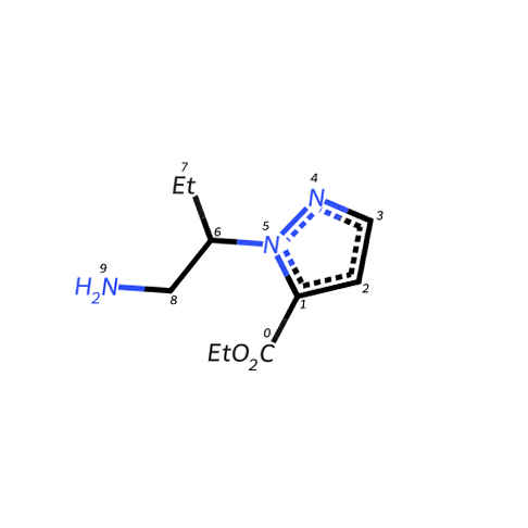 CCOC(=O)c1ccnn1C(CC)CN